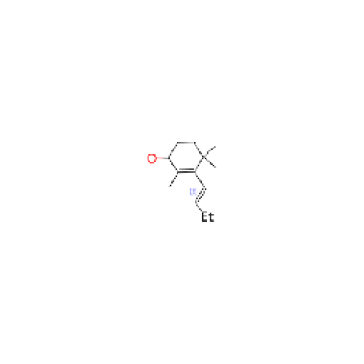 CC/C=C/C1=C(C)C(=O)CCC1(C)C